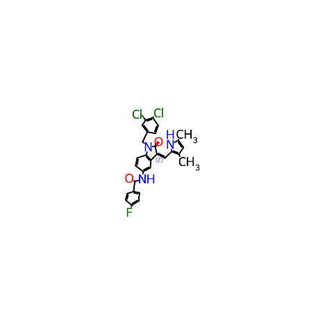 Cc1cc(C)c(/C=C2\C(=O)N(Cc3ccc(Cl)c(Cl)c3)c3ccc(NC(=O)c4ccc(F)cc4)cc32)[nH]1